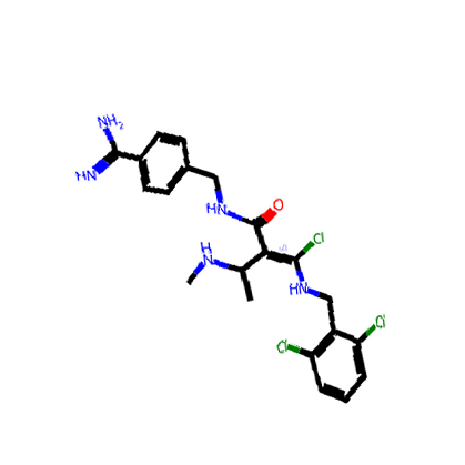 CNC(C)/C(C(=O)NCc1ccc(C(=N)N)cc1)=C(/Cl)NCc1c(Cl)cccc1Cl